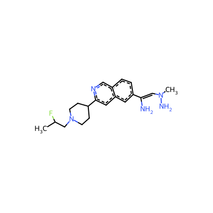 CC(F)CN1CCC(c2cc3cc(/C(N)=C/N(C)N)ccc3cn2)CC1